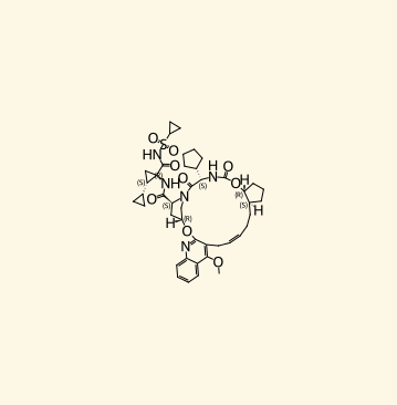 COc1c2c(nc3ccccc13)O[C@@H]1C[C@@H](C(=O)N[C@]3(C(=O)NS(=O)(=O)C4CC4)C[C@H]3C3CC3)N(C1)C(=O)[C@H](C1CCCC1)NC(=O)O[C@@H]1CCC[C@H]1CCC=CC2